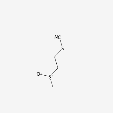 C[S+]([O-])CCSC#N